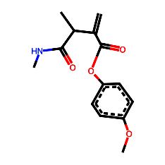 C=C(C(=O)Oc1ccc(OC)cc1)C(C)C(=O)NC